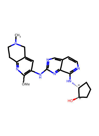 COc1nc2c(cc1Nc1ncc3ccnc(N[C@@H]4CCC[C@H]4O)c3n1)CN(C)CC2